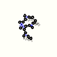 CC1(C)c2ccccc2-c2ccc(-n3c4ccccc4c4cc(-c5ccc6c(c5)c5ccccc5n6-c5nc(-n6c7ccc(-c8ccc9c(c8)c8ccccc8n9-c8ccc9c(c8)C(C)(C)c8ccccc8-9)cc7c7cc(-c8ccc9c(c8)c8ccccc8n9-c8ccc9c(c8)C(C)(C)c8ccccc8-9)ccc76)c6ccccc6n5)ccc43)cc21